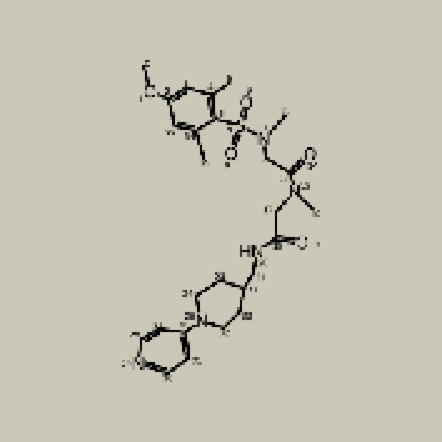 COc1cc(C)c(S(=O)(=O)N(C)CC(=O)N(C)CC(=O)NCC2CCN(c3ccncc3)CC2)c(C)c1